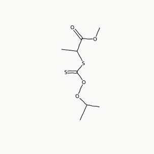 COC(=O)C(C)SC(=S)OOC(C)C